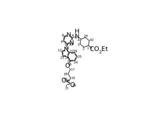 CCOC(=O)C1CCC(Nc2nccc(-n3ccc4c(OCCCS(C)(=O)=O)cccc43)n2)CC1